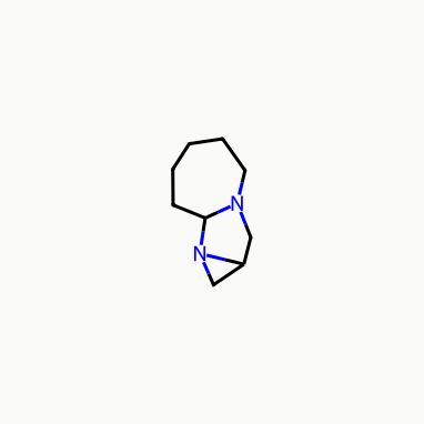 C1CCC2N(CC1)CC1CN12